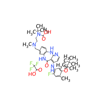 Cc1cc(F)c(Nc2ccnc3c2C(=O)Nc2cc(CN(C)CCN(C(=O)O)C(C)(C)C)ccc2N3)cc1O[Si](C)(C)C(C)(C)C.O=C(O)C(F)(F)F